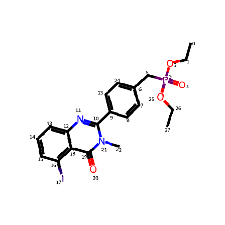 CCOP(=O)(Cc1ccc(-c2nc3cccc(I)c3c(=O)n2C)cc1)OCC